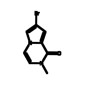 Cn1ccn2cc(Br)cc2c1=O